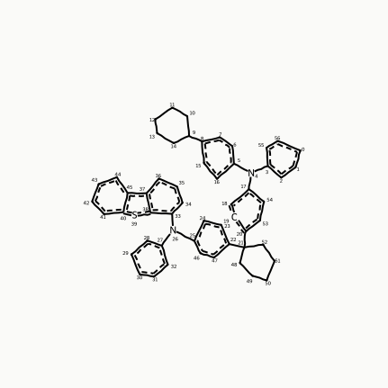 c1ccc(N(c2ccc(C3CCCCC3)cc2)c2ccc(C3(c4ccc(N(c5ccccc5)c5cccc6c5sc5ccccc56)cc4)CCCCC3)cc2)cc1